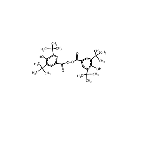 CC(C)(C)c1cc(C(=O)OOC(=O)c2cc(C(C)(C)C)c(O)c(C(C)(C)C)c2)cc(C(C)(C)C)c1O